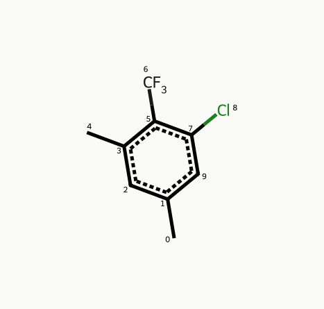 Cc1cc(C)c(C(F)(F)F)c(Cl)c1